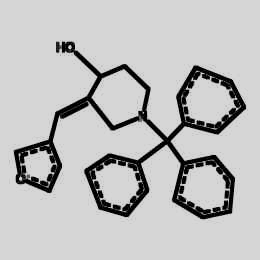 OC1CCN(C(c2ccccc2)(c2ccccc2)c2ccccc2)C/C1=C\c1ccoc1